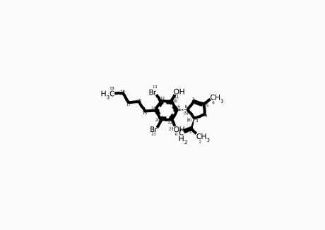 C=C(C)[C@@H]1CC(C)=C[C@H]1c1c(O)c(Br)c(CCCCC)c(Br)c1O